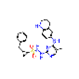 Cc1cnc(NNS(=O)(=O)C2CC2Cc2ccccc2)nc1Nc1ccc2c(c1)CCCN2